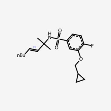 CCCC/C=C/C(C)(C)NS(=O)(=O)c1ccc(F)c(OCC2CC2)c1